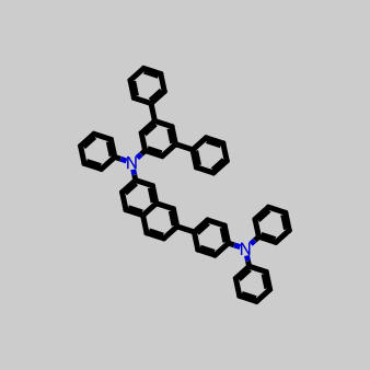 c1ccc(-c2cc(-c3ccccc3)cc(N(c3ccccc3)c3ccc4ccc(-c5ccc(N(c6ccccc6)c6ccccc6)cc5)cc4c3)c2)cc1